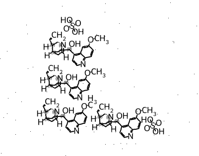 C=C[C@H]1C[N@]2CC[C@H]1C[C@H]2[C@H](O)c1ccnc2ccc(OC)cc12.C=C[C@H]1C[N@]2CC[C@H]1C[C@H]2[C@H](O)c1ccnc2ccc(OC)cc12.C=C[C@H]1C[N@]2CC[C@H]1C[C@H]2[C@H](O)c1ccnc2ccc(OC)cc12.C=C[C@H]1C[N@]2CC[C@H]1C[C@H]2[C@H](O)c1ccnc2ccc(OC)cc12.O=S(=O)(O)O.O=S(=O)(O)O